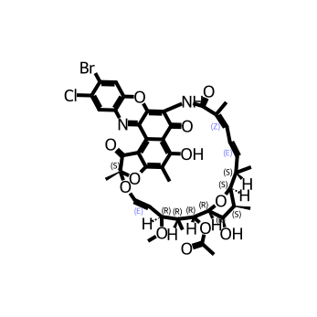 CO[C@H]1/C=C/O[C@@]2(C)Oc3c(C)c(O)c4c(=O)c(c5oc6cc(Br)c(Cl)cc6nc-5c4c3C2=O)NC(=O)/C(C)=C\C=C\[C@H](C)[C@@H]2O[C@H]([C@H](O)[C@@H]2C)[C@H](OC(C)=O)[C@@H]1C